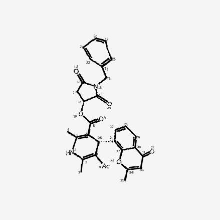 CC(=O)C1=C(C)NC(C)=C(C(=O)O[C@H]2CC(=O)N(Cc3ccccc3)C2=O)[C@@H]1c1cccc2c(=O)cc(C)oc12